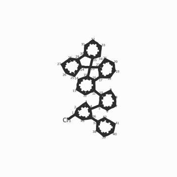 Clc1ccc(-c2ccccc2-c2cccc3c2-c2ccccc2C32c3ccccc3-c3ccccc32)c(-c2ccccc2)c1